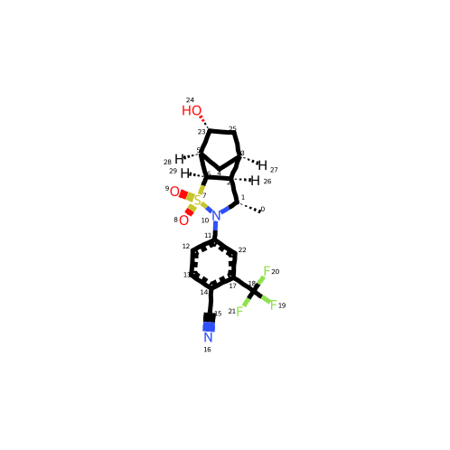 C[C@H]1[C@@H]2[C@H]3C[C@@H]([C@@H]2S(=O)(=O)N1c1ccc(C#N)c(C(F)(F)F)c1)[C@H](O)C3